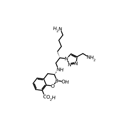 NCCCC[C@@H](CN[C@H]1Cc2cccc(C(=O)O)c2OB1O)n1cc(CN)nn1